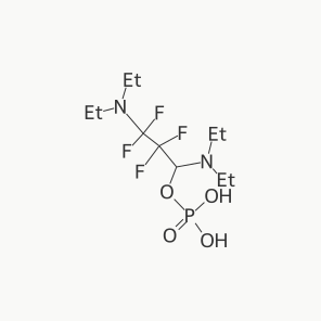 CCN(CC)C(OP(=O)(O)O)C(F)(F)C(F)(F)N(CC)CC